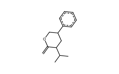 C=C1OCC(c2ccccc2)CC1C(C)C